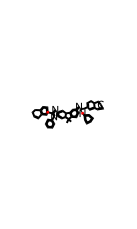 CC1(C)c2cc3c(cc2C2C=c4nc(-c5ccc6c(c5)C=CCC6)n(-c5ccccc5)c4=CC21)nc(C1=CCC2CCC=CC2=C1)n3-c1ccccc1